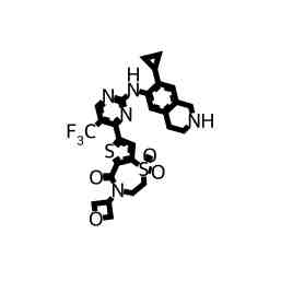 O=C1c2sc(-c3nc(Nc4cc5c(cc4C4CC4)CNCC5)ncc3C(F)(F)F)cc2S(=O)(=O)CCN1C1COC1